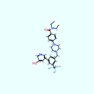 CCN(CC)C(=O)c1ccc(N2CCN(Cc3cc(-c4cncc(O)c4)cc(C(F)(F)F)c3)CC2)cc1